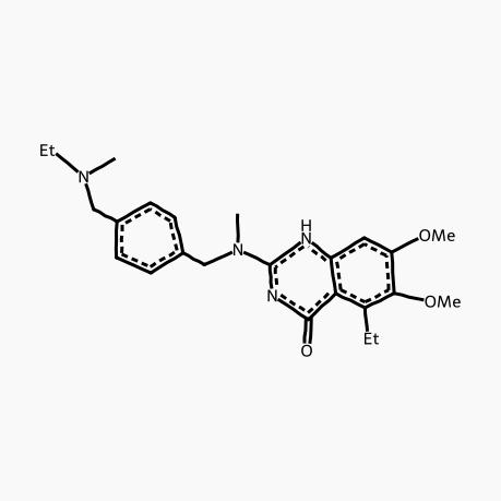 CCc1c(OC)c(OC)cc2[nH]c(N(C)Cc3ccc(CN(C)CC)cc3)nc(=O)c12